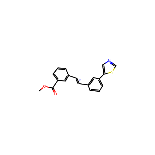 COC(=O)c1cccc(/C=C/c2cccc(-c3cncs3)c2)c1